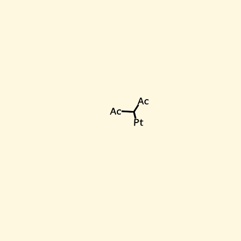 CC(=O)[CH]([Pt])C(C)=O